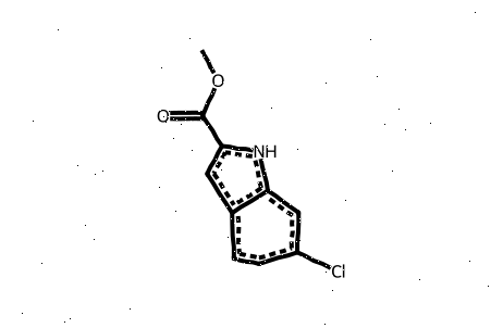 COC(=O)c1cc2ccc(Cl)cc2[nH]1